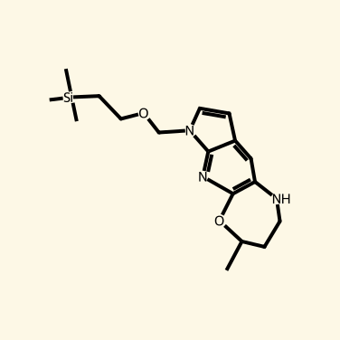 CC1CCNc2cc3ccn(COCC[Si](C)(C)C)c3nc2O1